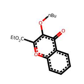 CCCCOc1c(C(=O)OCC)oc2ccccc2c1=O